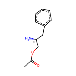 CC(=O)OC[C@@H](N)Cc1ccccc1